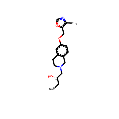 CNC[C@H](O)CN1CCc2cc(OCc3ocnc3C)ccc2C1